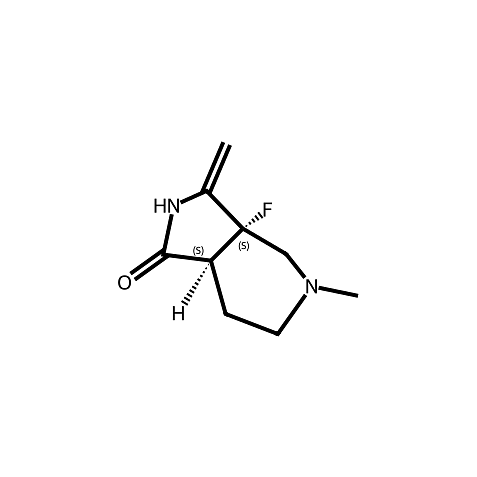 C=C1NC(=O)[C@@H]2CCN(C)C[C@]12F